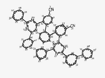 N#Cc1ccc(-c2ccccc2-c2ccc(C#N)cc2-c2nc(-c3ccccc3)nc(-c3cccc(-c4ccccc4)c3)n2)c(-c2nc(-c3ccccc3)nc(-c3ccccc3)n2)c1